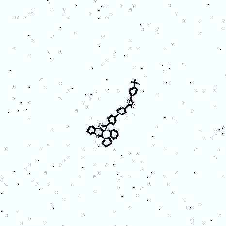 CC(C)(C)c1ccc(-c2nnc(-c3ccc(-c4ccc(-c5nc6c7ccccc7nc(-c7ccccc7)c6n5-c5ccccc5)cc4)cc3)o2)cc1